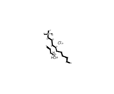 C=CCN.CCCCCCCCCC[N+](C)(C)C.Cl.[Cl-]